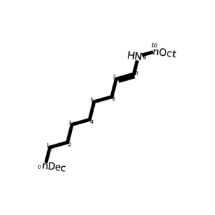 CCCCCCCCCCCCCCCCC=CNCCCCCCCC